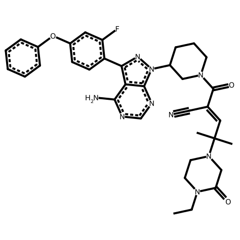 CCN1CCN(C(C)(C)/C=C(\C#N)C(=O)N2CCCC(n3nc(-c4ccc(Oc5ccccc5)cc4F)c4c(N)ncnc43)C2)CC1=O